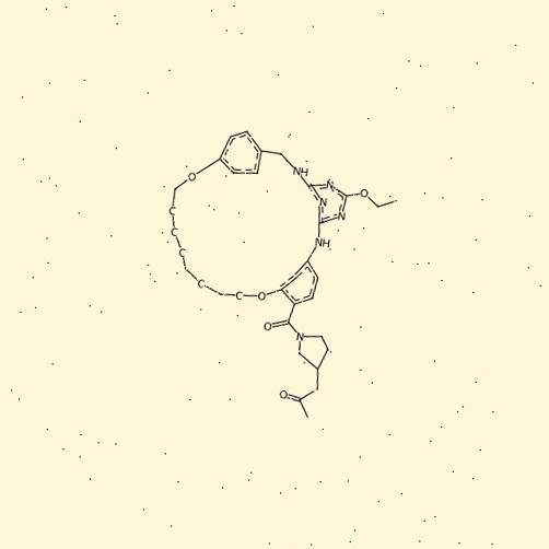 CCOc1nc2nc(n1)Nc1ccc(C(=O)N3CCC(CC(C)=O)C3)c(c1)OCCCCCCCCOc1ccc(cc1)CN2